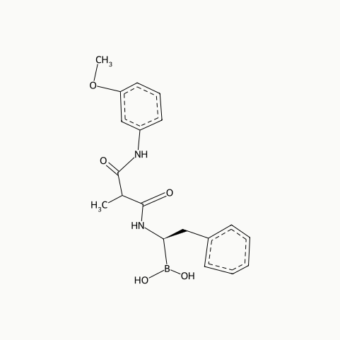 COc1cccc(NC(=O)C(C)C(=O)N[C@@H](Cc2ccccc2)B(O)O)c1